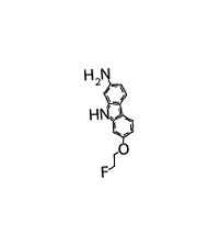 Nc1ccc2c(c1)[nH]c1cc(OCCF)ccc12